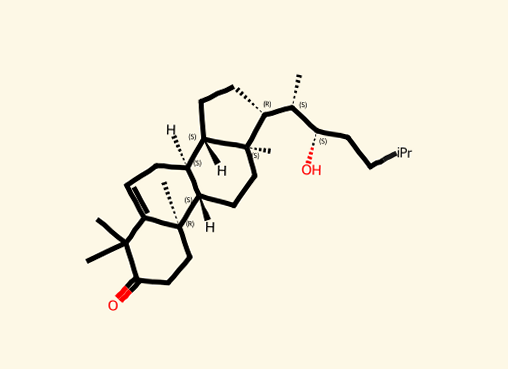 CC(C)CC[C@H](O)[C@@H](C)[C@H]1CC[C@H]2[C@@H]3CC=C4C(C)(C)C(=O)CC[C@]4(C)[C@H]3CC[C@]12C